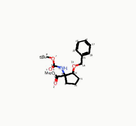 COC(=O)C1(NC(=O)OC(C)(C)C)CCCC1OCc1ccccc1